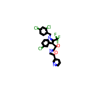 O=C(c1ncc(-c2cccnc2)o1)c1c(C(F)(F)F)n(Cc2ccc(Cl)cc2Cl)c2ccc(Cl)cc12